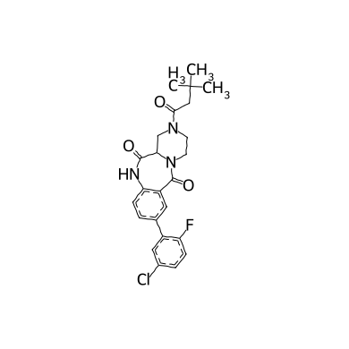 CC(C)(C)CC(=O)N1CCN2C(=O)c3cc(-c4cc(Cl)ccc4F)ccc3NC(=O)C2C1